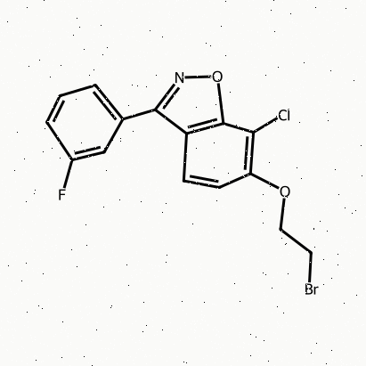 Fc1cccc(-c2noc3c(Cl)c(OCCBr)ccc23)c1